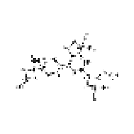 NC1(c2ccc(-c3nc(N4CC(F)(F)C4CO)nc4c3CCC4(F)F)cc2)C[S+]([O-])C1